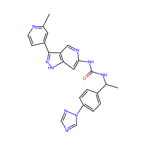 Cc1cc(-c2n[nH]c3cc(NC(=O)NC(C)c4ccc(-n5cncn5)cc4)ncc23)ccn1